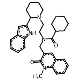 Cn1c(=O)c(CN(CCN2CCCCC2c2cc3ccccc3[nH]2)C(=O)C2CCCCC2)cc2ccccc21